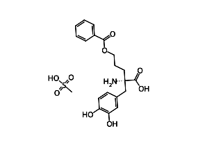 CS(=O)(=O)O.N[C@@](CCCOC(=O)c1ccccc1)(Cc1ccc(O)c(O)c1)C(=O)O